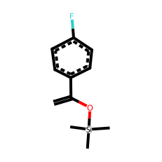 C=C(O[Si](C)(C)C)c1ccc(F)cc1